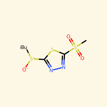 CCC(C)[S+]([O-])c1nnc(S(C)(=O)=O)s1